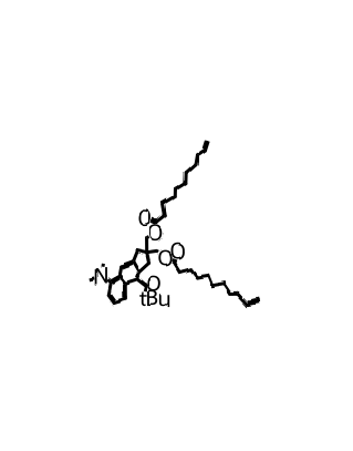 C=CCCCCCCCCC(=O)OCC1(COC(=O)CCCCCCCCC=C)Cc2cc3c(N(C)C)cccc3c(C(=O)C(C)(C)C)c2C1